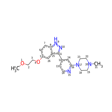 COCCOc1ccc2[nH]nc(-c3ccnc(N4CCN(C)CC4)c3)c2c1